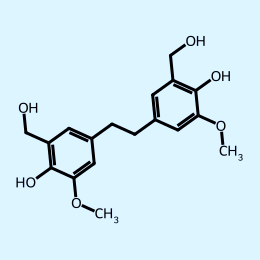 COc1cc(CCc2cc(CO)c(O)c(OC)c2)cc(CO)c1O